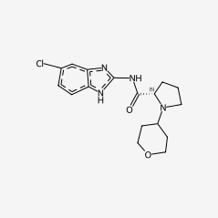 O=C(Nc1nc2cc(Cl)ccc2[nH]1)[C@@H]1CCCN1C1CCOCC1